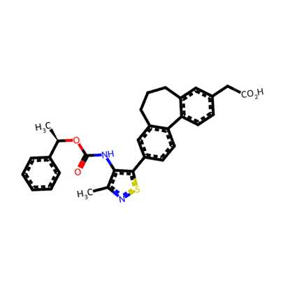 Cc1nsc(-c2ccc3c(c2)CCCc2cc(CC(=O)O)ccc2-3)c1NC(=O)O[C@H](C)c1ccccc1